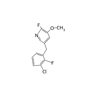 COc1cc(Cc2cccc(Cl)c2F)cnc1F